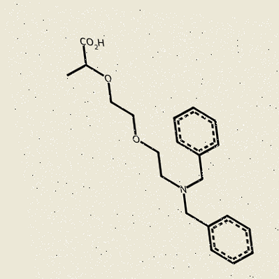 CC(OCCOCCN(Cc1ccccc1)Cc1ccccc1)C(=O)O